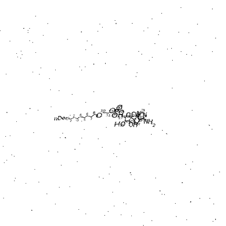 CCCCCCCCCCCCCCCCCCOCCOP(=O)(O)OC[C@H]1O[C@@](C)(c2ccc3c(N)ncnn23)[C@H](O)[C@@H]1O